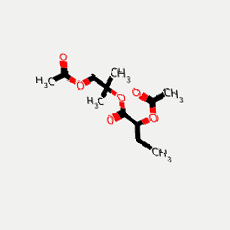 CCC(OC(C)=O)C(=O)OC(C)(C)COC(C)=O